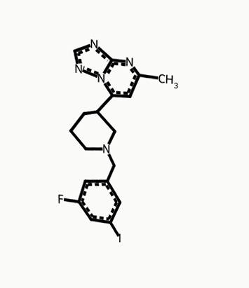 Cc1cc(C2CCCN(Cc3cc(F)cc(I)c3)C2)n2ncnc2n1